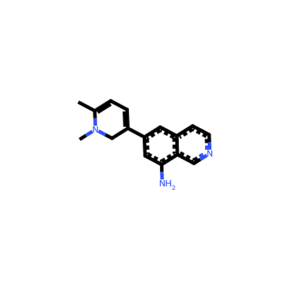 CC1=CC=C(c2cc(N)c3cnccc3c2)CN1C